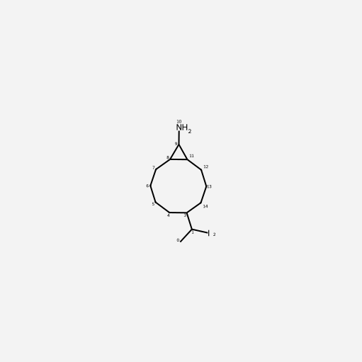 CC(I)C1CCCCC2C(N)C2CCC1